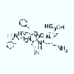 CC(C)CC[C@@H](NC(=O)[C@@H](Cc1ccccc1)NC(=O)[C@H](N)Cc1ccccc1)C(=O)N[C@H](CCCCN)C(=O)N1CC2CC2(B(O)O)C1